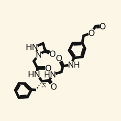 O=COCc1ccc(NC(=O)CNC(=O)[C@H](Cc2ccccc2)NC(=O)CN2NCC2=O)cc1